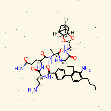 CCCCc1ccc(-c2ccc(C(=O)N[C@@H](CCN)C(=O)N[C@@H](CCC(N)=O)C(=O)N[C@@H](C)C(=O)N[C@@H](CCCCN)C(=O)N[C@@H](C)B3O[C@@H]4C[C@@H]5C[C@@H](C5(C)C)[C@]4(C)O3)cc2)cc1